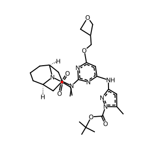 CCS(=O)(=O)N1[C@@H]2CCC[C@H]1CC(N(C)c1nc(Nc3cc(C)n(C(=O)OC(C)(C)C)n3)cc(OCC3COC3)n1)C2